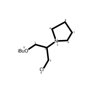 CC(C)COCC(CCl)N1CCCC1